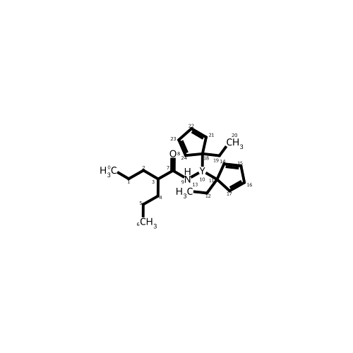 CCCC(CCC)C(=O)[NH][Y]([C]1(CC)C=CC=C1)[C]1(CC)C=CC=C1